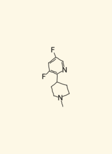 CN1CCC(c2ncc(F)cc2F)CC1